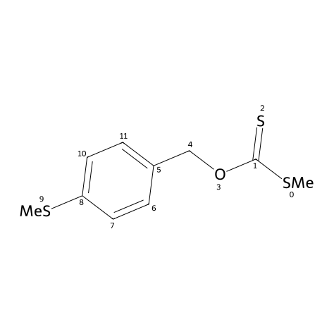 CSC(=S)OCc1ccc(SC)cc1